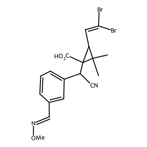 CON=Cc1cccc(C(C#N)C2(C(=O)O)C(C=C(Br)Br)C2(C)C)c1